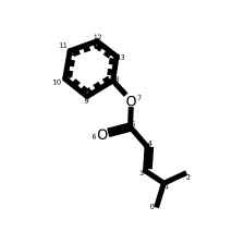 CC(C)C=CC(=O)Oc1ccccc1